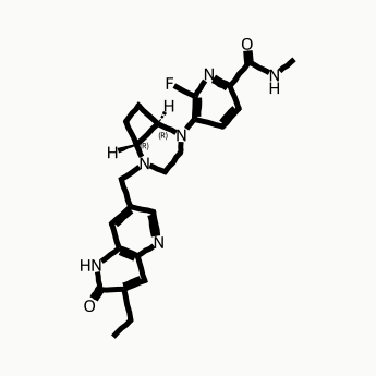 CCc1cc2ncc(CN3CCN(c4ccc(C(=O)NC)nc4F)[C@@H]4CC[C@H]43)cc2[nH]c1=O